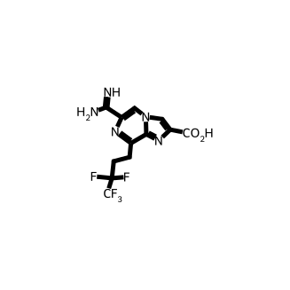 N=C(N)c1cn2cc(C(=O)O)nc2c(CCC(F)(F)C(F)(F)F)n1